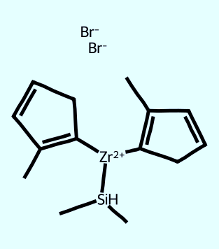 CC1=[C]([Zr+2]([C]2=C(C)C=CC2)[SiH](C)C)CC=C1.[Br-].[Br-]